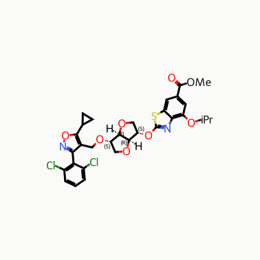 COC(=O)c1cc(OC(C)C)c2nc(O[C@H]3CO[C@H]4[C@@H]3OC[C@@H]4OCc3c(-c4c(Cl)cccc4Cl)noc3C3CC3)sc2c1